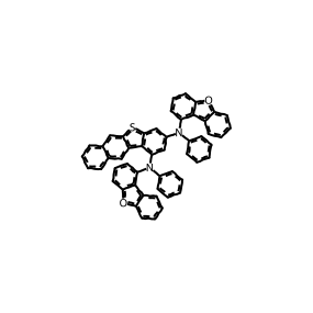 c1ccc(N(c2cc(N(c3ccccc3)c3cccc4oc5ccccc5c34)c3c(c2)sc2cc4ccccc4cc23)c2cccc3oc4ccccc4c23)cc1